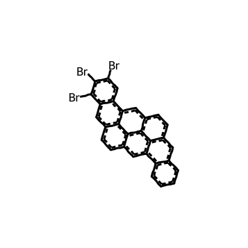 Brc1cc2c(cc3ccc4cc5c6ccccc6cc6ccc7cc2c3c4c7c65)c(Br)c1Br